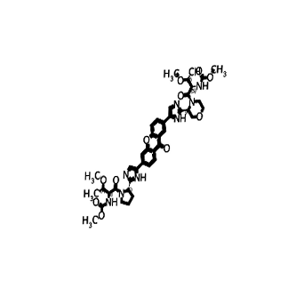 COC(=O)N[C@H](C(=O)N1CCC[C@H]1c1ncc(-c2ccc3c(=O)c4cc(-c5cnc([C@@H]6COCCN6C(=O)[C@@H](NC(=O)OC)[C@@H](C)OC)[nH]5)ccc4oc3c2)[nH]1)[C@@H](C)OC